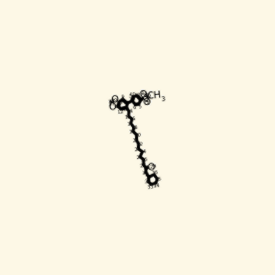 CS(=O)(=O)c1ccc(-c2cc3c(cc2CCCCCCCCCCCCCCC(=O)CC2CCCCC2)OCO3)cc1